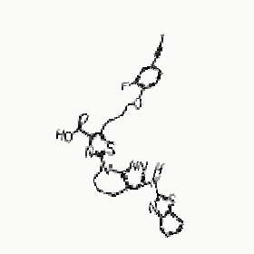 CC#Cc1ccc(OCCCc2sc(N3CCCc4cc(Nc5nc6ccccc6s5)nnc43)nc2C(=O)O)c(F)c1